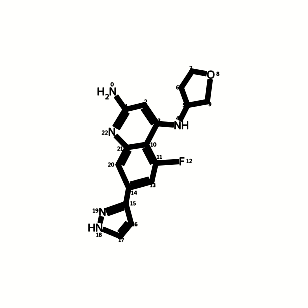 Nc1cc(NC2CCOC2)c2c(F)cc(-c3cc[nH]n3)cc2n1